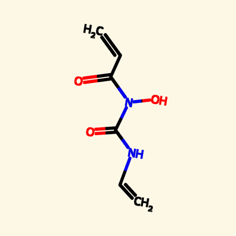 C=CNC(=O)N(O)C(=O)C=C